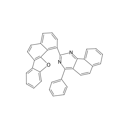 c1ccc(-c2nc(-c3cccc4ccc5c6ccccc6oc5c34)nc3c2ccc2ccccc23)cc1